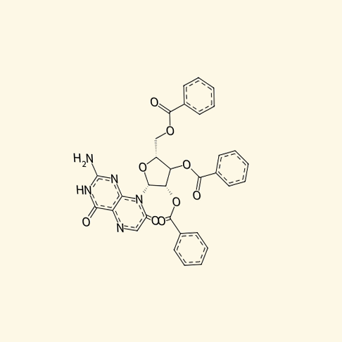 Nc1nc2c(ncc(=O)n2[C@@H]2O[C@H](COC(=O)c3ccccc3)C(OC(=O)c3ccccc3)[C@@H]2OC(=O)c2ccccc2)c(=O)[nH]1